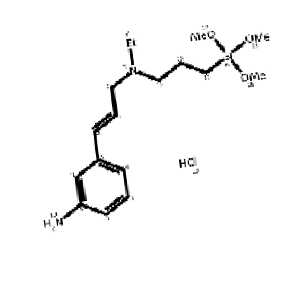 CCN(CC=Cc1cccc(N)c1)CCC[Si](OC)(OC)OC.Cl